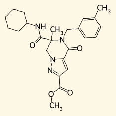 COC(=O)c1cc2n(n1)CC(C)(C(=O)NC1CCCCC1)N(Cc1cccc(C)c1)C2=O